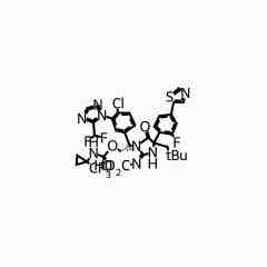 CC(C)(C)CC1(c2ccc(-c3cncs3)cc2F)NC(=NC(=O)O)N([C@H](COC(=O)NC2(C(F)(F)F)CC2)c2ccc(Cl)c(-n3ncnc3C(F)F)c2)C1=O